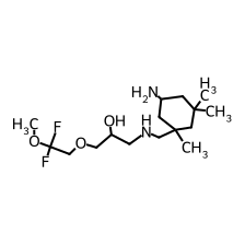 COC(F)(F)COCC(O)CNCC1(C)CC(N)CC(C)(C)C1